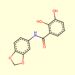 O=C(Nc1ccc2c(c1)OCO2)c1c[c]cc(O)c1O